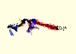 Cc1c(Nc2nc3ccccc3s2)nnc2c1CCCN2c1nc(C(=O)O)c(CCCOc2ccc(C#CC[N+](C)(C)Cc3ccc(NC(=O)[C@H](CCCNC(N)=O)NC(=O)[C@@H](NC(=O)OC(C)(C)C)C(C)C)cc3COCc3cn(CCOCCOCCOCCOCCOCCOCCOCCOCCC(=O)O)nn3)cc2F)s1